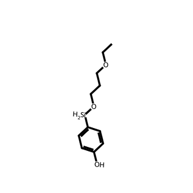 CCOCCCO[SiH2]c1ccc(O)cc1